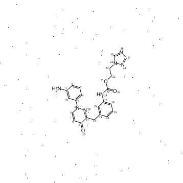 Nc1cccc(-n2ccc(=O)c(Cc3cccc(NC(=O)OCCn4cncn4)c3)n2)c1